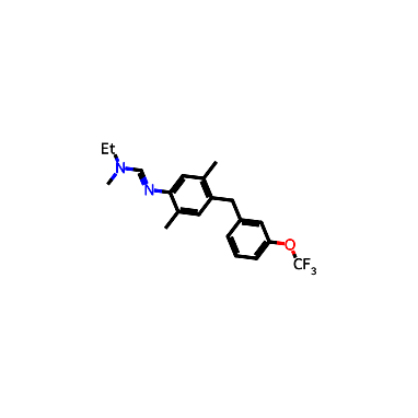 CCN(C)C=Nc1cc(C)c(Cc2cccc(OC(F)(F)F)c2)cc1C